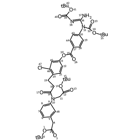 CC(C)(C)OC(=O)Cc1cccc(N(CC(=O)OC(C)(C)C)C(=O)CCc2ccc(OC(=O)c3ccc(N(C(=O)OC(C)(C)C)C(N)=NC(=O)OC(C)(C)C)cc3)cc2Cl)c1